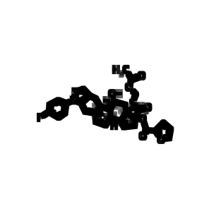 CC(=O)OCSC(=O)[C@@]1(OC(=O)c2ccco2)CC[C@H]2[C@@H]3CCC4=Cc5c(cnn5-c5ccc(F)cc5)C[C@]4(C)[C@H]3[C@@H](O)C[C@@]21C